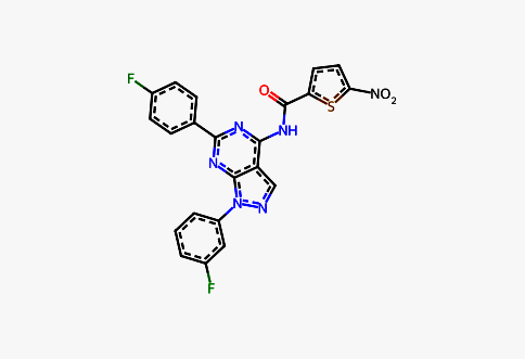 O=C(Nc1nc(-c2ccc(F)cc2)nc2c1cnn2-c1cccc(F)c1)c1ccc([N+](=O)[O-])s1